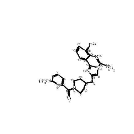 Cc1cccc(C(=O)N2CCC(Cc3cn4c(N)nc5c(F)cccc5c4n3)CC2)n1